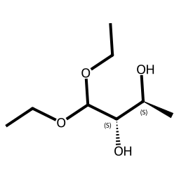 CCOC(OCC)[C@@H](O)[C@H](C)O